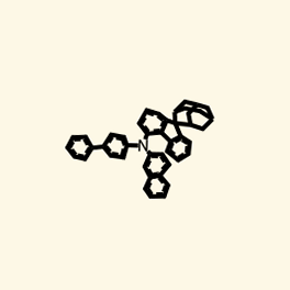 c1ccc(-c2ccc(N(c3ccc4ccccc4c3)c3cccc4c3-c3ccccc3C43C4CCC5CC(C4)CC3C5)cc2)cc1